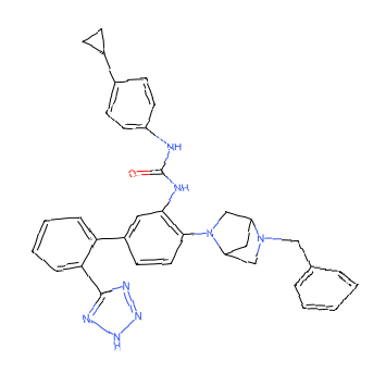 O=C(Nc1ccc(C2CC2)cc1)Nc1cc(-c2ccccc2-c2nn[nH]n2)ccc1N1CC2CC1CN2Cc1ccccc1